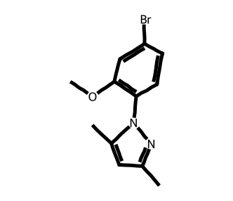 COc1cc(Br)ccc1-n1nc(C)cc1C